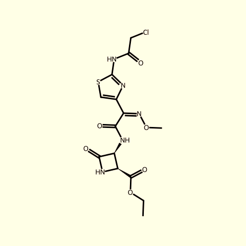 CCOC(=O)[C@H]1NC(=O)[C@H]1NC(=O)C(=NOC)c1csc(NC(=O)CCl)n1